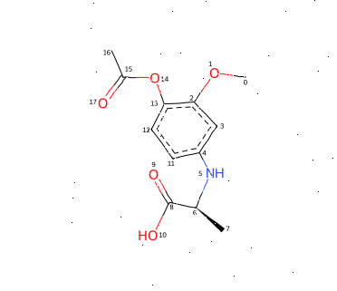 COc1cc(N[C@@H](C)C(=O)O)ccc1OC(C)=O